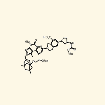 COCCOC12CC3(C)CC(C)(CC(Cn4ncc(-c5ccc(N6CCc7cc(N8CCC(NC(=O)OC(C)(C)C)C8)cc(C(=O)O)c7C6)nc5C(=O)OC(C)(C)C)c4C)(C3)C1)C2